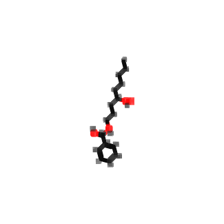 CCCCCC(O)CCCOC(=O)c1ccccc1